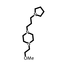 COCCN1CCN(CCCN2CCCC2)CC1